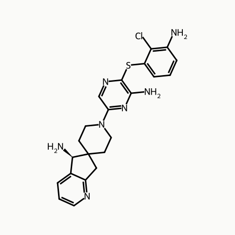 Nc1cccc(Sc2ncc(N3CCC4(CC3)Cc3ncccc3[C@H]4N)nc2N)c1Cl